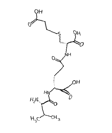 CC(C)[C@H](N)C(=O)N[C@H](CCC(=O)N[C@H](CSCCC(=O)O)C(=O)O)C(=O)O